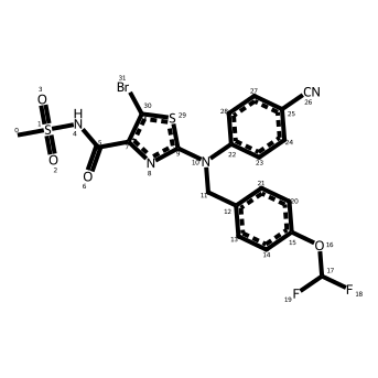 CS(=O)(=O)NC(=O)c1nc(N(Cc2ccc(OC(F)F)cc2)c2ccc(C#N)cc2)sc1Br